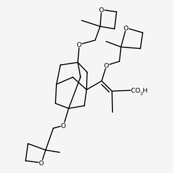 CC(C(=O)O)=C(OCC1(C)CCO1)C12CC3CC(OCC4(C)CCO4)(CC(OCC4(C)CCO4)(C3)C1)C2